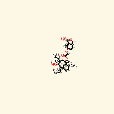 C=CC[C@]1(C)C[C@@H](OC(=O)COc2ccc3c(c2F)B(O)OC3)[C@@]2(C)C[C@](CCC(C)=O)(CC[C@H]2C)[C@@H](C)[C@@H]1O